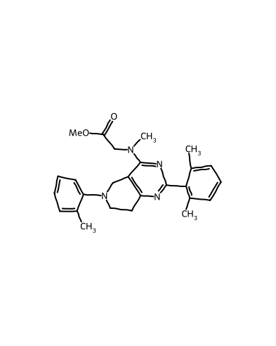 COC(=O)CN(C)c1nc(-c2c(C)cccc2C)nc2c1CN(c1ccccc1C)CC2